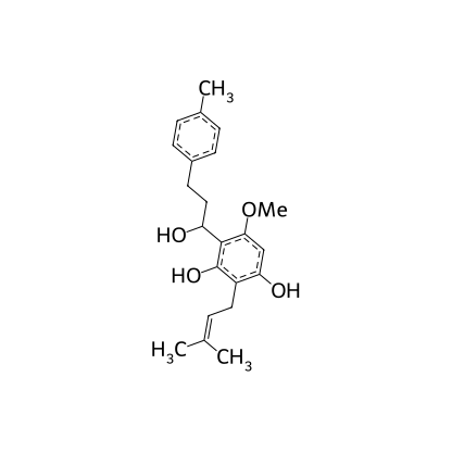 COc1cc(O)c(CC=C(C)C)c(O)c1C(O)CCc1ccc(C)cc1